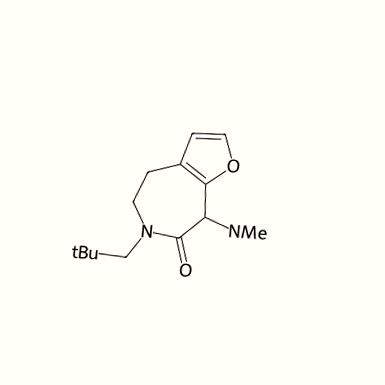 CNC1C(=O)N(CC(C)(C)C)CCc2ccoc21